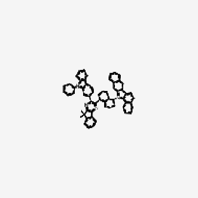 CC1(C)c2ccccc2-c2nc(-c3cccc4c(-n5c6cc7ccccc7cc6c6ccc7ccccc7c65)cccc34)c(-c3ccc4c5ccccc5n(-c5ccccc5)c4c3)nc21